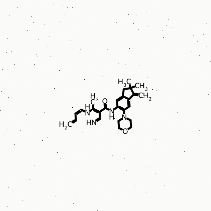 C=C/C=C\N/C(C)=C(\C=N)C(=O)Nc1cc2c(cc1N1CCOCC1)C(=C)C(C)(C)C2